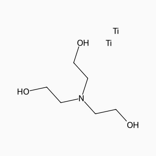 OCCN(CCO)CCO.[Ti].[Ti]